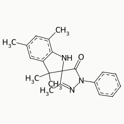 CC1=NN(c2ccccc2)C(=O)C12Nc1c(C)cc(C)cc1C2(C)C